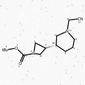 CC(C)(C)OC(=O)N1CC([C@H]2CCCN(CC#N)C2)C1